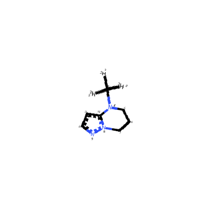 [2H]C([2H])([2H])N1CCCn2nccc21